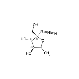 CC1O[C@@](CO)(N=[N+]=[N-])[C@@H](O)[C@@H]1O